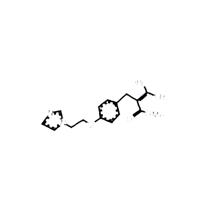 COC(=O)/C(Cc1ccc(OCCn2ccnc2)cc1)=C(\C)C(C)C